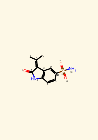 CC(C)=C1C(=O)Nc2ccc(S(N)(=O)=O)cc21